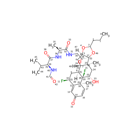 CCCC1O[C@@H]2C[C@H]3[C@@H]4C[C@H](F)C5=CC(=O)C=C[C@]5(C)[C@@]4(F)[C@@H](O)C[C@]3(C)[C@]2(C(=O)CNC(=O)[C@H](C)NC(=O)[C@@H](NC=O)C(C)C)O1